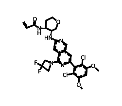 C=CC(=O)N[C@H]1CCOC[C@H]1Nc1cc2c(N3CC(F)(F)C3)nc(-c3c(Cl)c(OC)cc(OC)c3Cl)cc2cn1